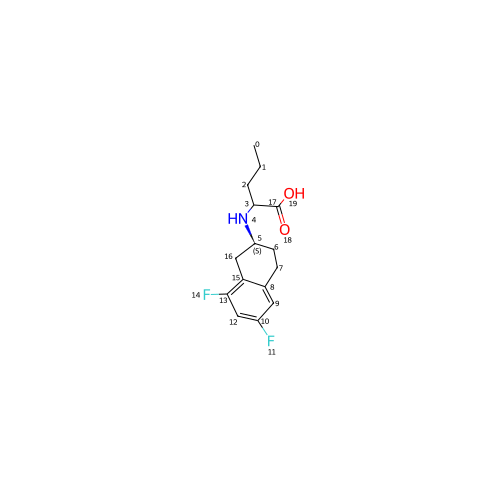 CCCC(N[C@H]1CCc2cc(F)cc(F)c2C1)C(=O)O